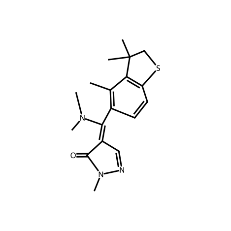 Cc1c(/C(=C2\C=NN(C)C2=O)N(C)C)ccc2c1C(C)(C)CS2